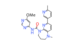 COc1cc(NC(=O)N2CCCN(C)c3ccc(-c4ccc(C)nc4)nc32)ncn1